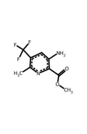 COC(=O)c1nc(C)c(C(F)(F)F)cc1N